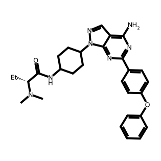 CC[C@H](C(=O)NC1CCC(n2ncc3c(N)nc(-c4ccc(Oc5ccccc5)cc4)nc32)CC1)N(C)C